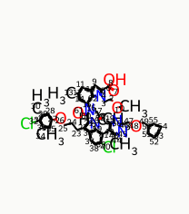 COCCn1c(C(=O)O)cc2cc(C)cc(N3CC(C)n4c(c(CCCOc5cc(C)c(Cl)c(C)c5)c5ccc(Cl)c(-c6c(C)nc(COCc7ccccc7)nc6C)c54)C3=O)c21